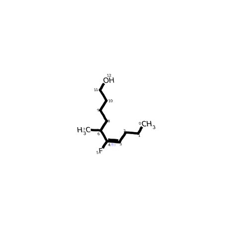 CCC/C=C(/F)C(C)CCCCO